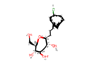 OC[C@H]1O[C@@H](CCc2cccc(Cl)c2)[C@H](O)[C@@H](O)[C@@H]1O